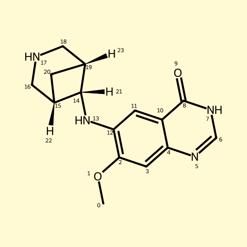 COc1cc2nc[nH]c(=O)c2cc1N[C@@H]1[C@@H]2CNC[C@H]1C2